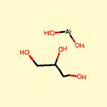 OCC(O)CO.[OH][Al][OH]